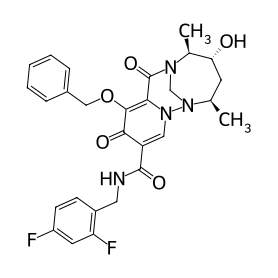 C[C@@H]1C[C@@H](O)[C@H](C)N2CN1n1cc(C(=O)NCc3ccc(F)cc3F)c(=O)c(OCc3ccccc3)c1C2=O